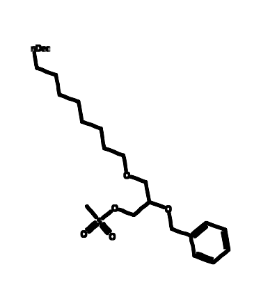 CCCCCCCCCCCCCCCCCCOCC(COS(C)(=O)=O)OCc1ccccc1